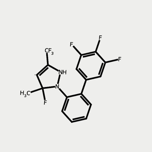 CC1(F)[C]=C(C(F)(F)F)NN1c1ccccc1-c1cc(F)c(F)c(F)c1